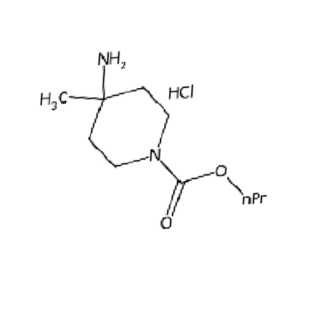 CCCOC(=O)N1CCC(C)(N)CC1.Cl